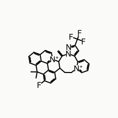 C=C1C2C(CC[n+]3ccccc3-c3cc(C(F)(F)F)nn31)c1ccc(F)c3c1-c1c4c(cccc4cc[n+]12)C3(C)C